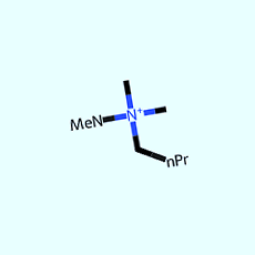 CCCC[N+](C)(C)NC